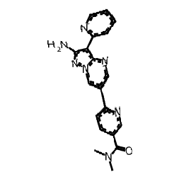 CN(C)C(=O)c1ccc(-c2cnc3c(-c4ccccn4)c(N)nn3c2)nc1